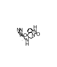 C[C@H](CCn1cnnc1)N[C@@H]1CCn2c(=O)[nH]c3cccc(c32)[C@H]1O